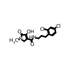 CN1CC(C(=O)NCCCc2ccc(Cl)cc2Cl)=C(O)C1=O